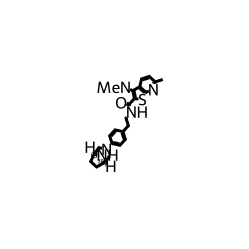 CNc1c(C(=O)NCCc2ccc(N3C[C@H]4CC[C@@H](C3)N4)cc2)sc2nc(C)ccc12